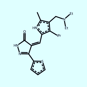 CCN(CC)Cc1c(C)[nH]c(C=C2C(=O)NN=C2c2cccs2)c1C(C)C